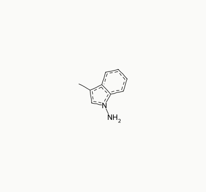 Cc1cn(N)c2ccccc12